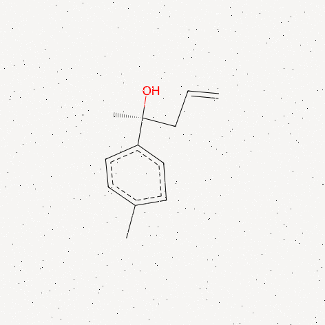 C=CC[C@](C)(O)c1ccc(C)cc1